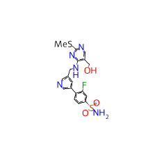 CSc1ncc(CO)c(NCc2cncc(-c3ccc(S(N)(=O)=O)cc3F)c2)n1